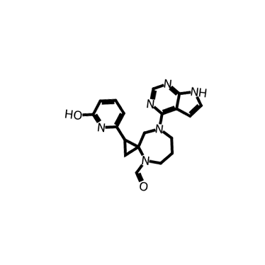 O=CN1CCCN(c2ncnc3[nH]ccc23)CC12CC2c1cccc(O)n1